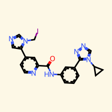 O=C(Nc1cccc(-c2nncn2C2CC2)c1)c1cc(-c2cncn2CI)ccn1